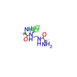 C[C@H](N)C(=O)NCCNC(=O)[C@H](C)N.Cl.Cl